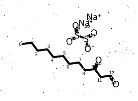 CCCCCCCCCC(=O)CC=O.O=S([O-])S(=O)[O-].[Na+].[Na+]